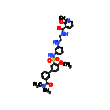 COc1ccc(-c2cccc(C(=O)N(C)C)c2)cc1S(=O)(=O)Nc1cccc(NCCNC(=O)c2cccnc2OC)c1